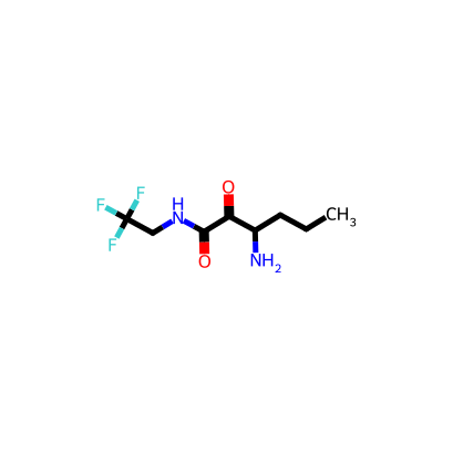 CCCC(N)C(=O)C(=O)NCC(F)(F)F